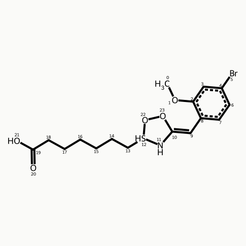 COc1cc(Br)ccc1/C=C1/N[SH](CCCCCCC(=O)O)OO1